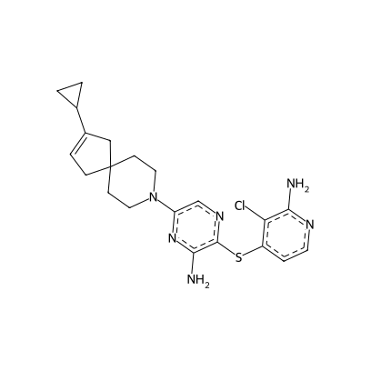 Nc1nc(N2CCC3(CC=C(C4CC4)C3)CC2)cnc1Sc1ccnc(N)c1Cl